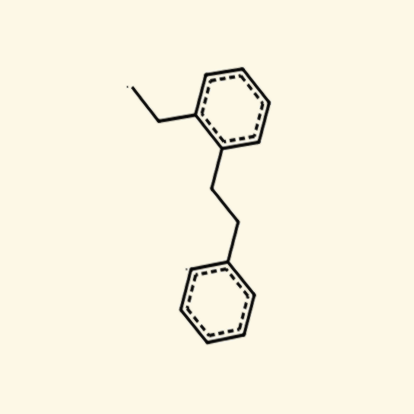 [CH2]Cc1ccccc1CCc1[c]cccc1